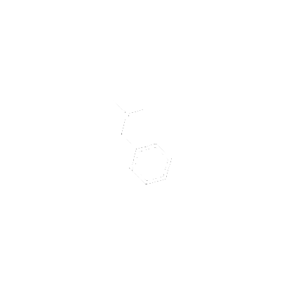 C[NH+]([O-])Cc1ccccn1